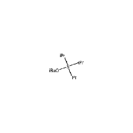 C[C](C)CO[Si](C(C)C)(C(C)C)C(C)C